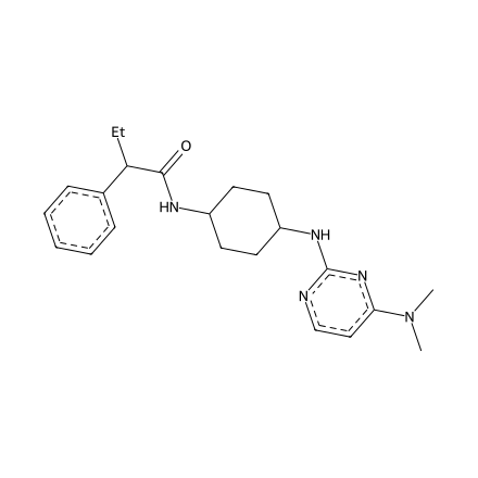 CCC(C(=O)NC1CCC(Nc2nccc(N(C)C)n2)CC1)c1ccccc1